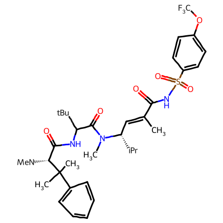 CN[C@H](C(=O)NC(C(=O)N(C)[C@H](/C=C(\C)C(=O)NS(=O)(=O)c1ccc(OC(F)(F)F)cc1)C(C)C)C(C)(C)C)C(C)(C)c1ccccc1